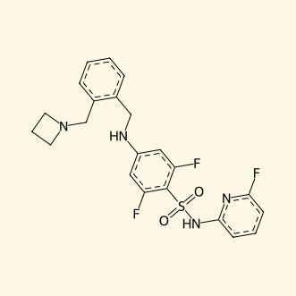 O=S(=O)(Nc1cccc(F)n1)c1c(F)cc(NCc2ccccc2CN2CCC2)cc1F